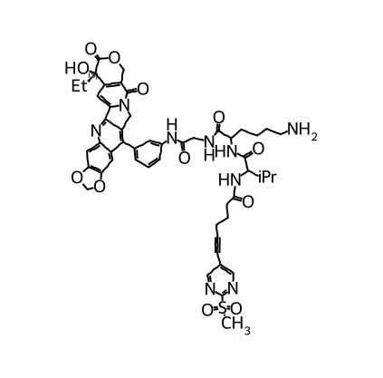 CC[C@@]1(O)C(=O)OCc2c1cc1n(c2=O)Cc2c-1nc1cc3c(cc1c2-c1cccc(NC(=O)CNC(=O)C(CCCCN)NC(=O)C(NC(=O)CCCC#Cc2cnc(S(C)(=O)=O)nc2)C(C)C)c1)OCO3